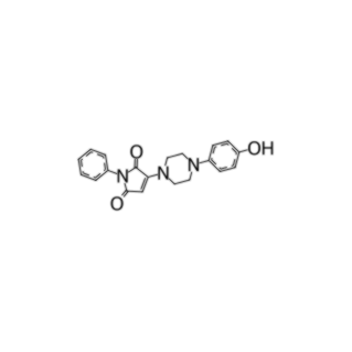 O=C1C=C(N2CCN(c3ccc(O)cc3)CC2)C(=O)N1c1ccccc1